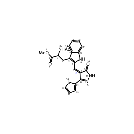 COC(=O)C(Cc1c(/C=C2\C(=O)NN=C2c2cccs2)[nH]c2ccccc12)NC(C)=O